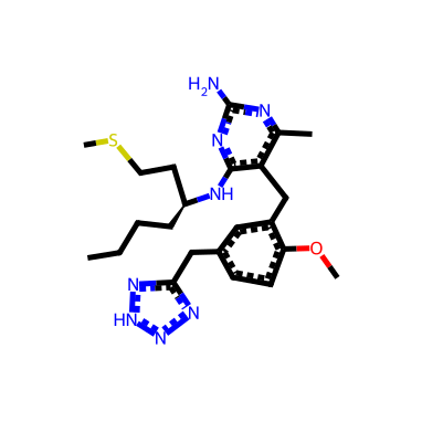 CCCC[C@@H](CCSC)Nc1nc(N)nc(C)c1Cc1cc(Cc2nn[nH]n2)ccc1OC